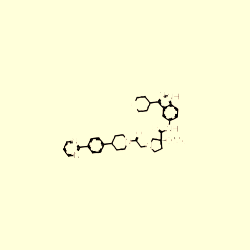 CO[C@@]1(C(=O)Nc2ccc3[nH]nc(C4CCOCC4)c3c2)CCN(CC(=O)N2CCC(c3ccc(-c4ncccn4)cc3)CC2)C1